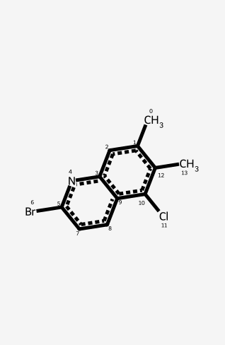 Cc1cc2nc(Br)ccc2c(Cl)c1C